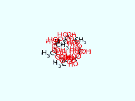 CC1OC2OC3C(C)OC(OC4C(C)OC(OC5C(CO)OC(OC6C(CO)OC(OC7C(C)OC(OC8C(C)OC(OC1C(O)C2O)C(O)C8O)C(O)C7O)C(O)C6O)C(O)C5O)C(O)C4O)C(O)C3O